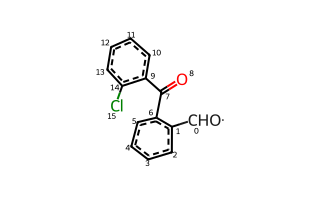 O=[C]c1ccccc1C(=O)c1ccccc1Cl